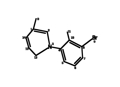 CC1=CN(c2cccc(Br)c2C)CC=C1